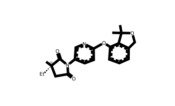 CC[C@@]1(C)CC(=O)N(c2ccc(Oc3cccc4c3C(C)(C)OC4)nc2)C1=O